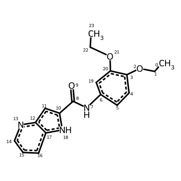 CCOc1ccc(NC(=O)c2cc3ncccc3[nH]2)cc1OCC